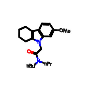 CCCCN(CCC)C(=O)Cn1c2c(c3ccc(OC)cc31)CCCC2